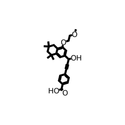 COCCOc1cc(C(O)C#Cc2ccc(C(=O)O)cc2)cc2c1CC(C)(C)CC2(C)C